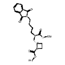 CC(C)(C)OC(=O)N(CCCCN1C(=O)c2ccccc2C1=O)C[C@@H]1CCN1C(=O)OC(C)(C)C